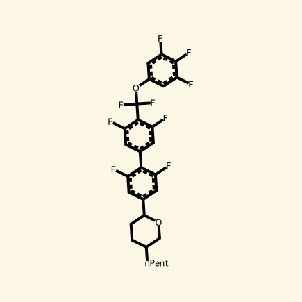 CCCCCC1CCC(c2cc(F)c(-c3cc(F)c(C(F)(F)Oc4cc(F)c(F)c(F)c4)c(F)c3)c(F)c2)OC1